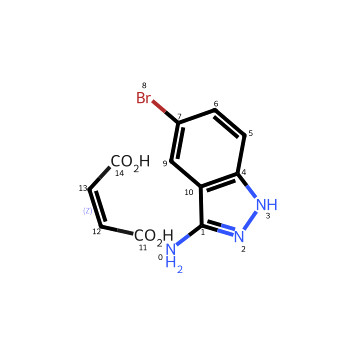 Nc1n[nH]c2ccc(Br)cc12.O=C(O)/C=C\C(=O)O